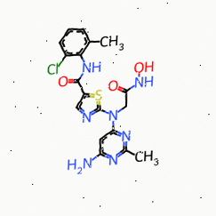 Cc1nc(N)cc(N(CC(=O)NO)c2ncc(C(=O)Nc3c(C)cccc3Cl)s2)n1